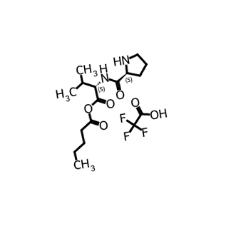 CCCCC(=O)OC(=O)[C@@H](NC(=O)[C@@H]1CCCN1)C(C)C.O=C(O)C(F)(F)F